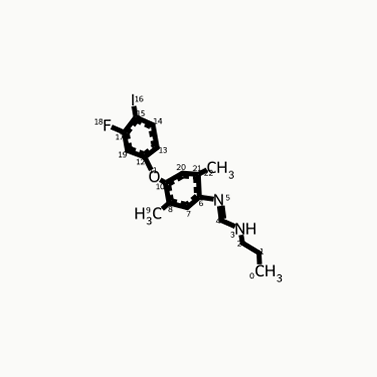 CCCNC=Nc1cc(C)c(Oc2ccc(I)c(F)c2)cc1C